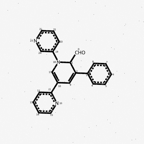 O=CC1C(c2ccccc2)=CC(c2ccccn2)=CN1c1cccnc1